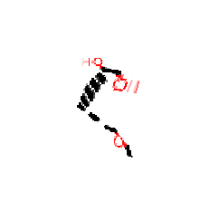 C=C.C=C.C=C.C=C.C=C.C=C.C=COC=C.OCCO